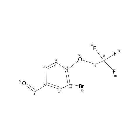 O=Cc1ccc(OCC(F)(F)F)c(Br)c1